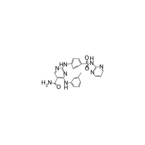 Cc1cccc(Nc2nc(Nc3ccc(S(=O)(=O)Nc4ncccn4)cc3)ncc2C(N)=O)c1